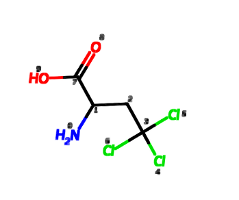 NC(CC(Cl)(Cl)Cl)C(=O)O